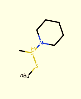 CCCCS[SH](C)N1CCCCC1